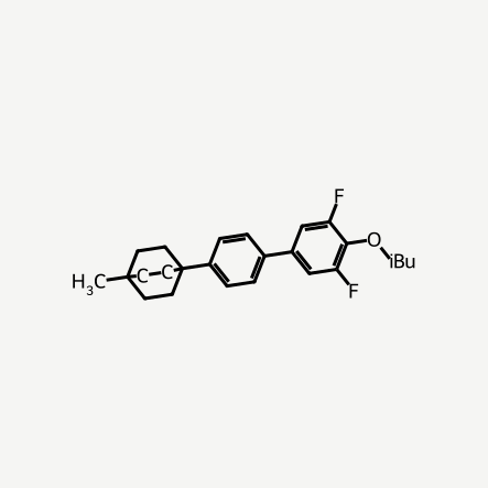 CCC(C)Oc1c(F)cc(-c2ccc(C34CCC(C)(CC3)CC4)cc2)cc1F